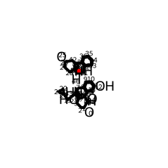 O=C1CC[C@@]2(O)[C@H]3Cc4ccc(O)c5c4[C@@]2(CCN3CC2CC2)[C@H]1O5.O=C1CC[C@H]2[C@H]3Cc4ccccc4[C@@]2(CCN3)C1